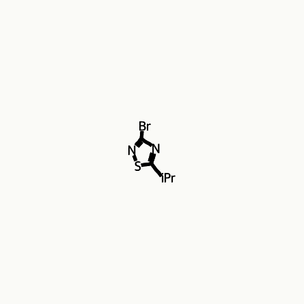 CC(C)c1nc(Br)ns1